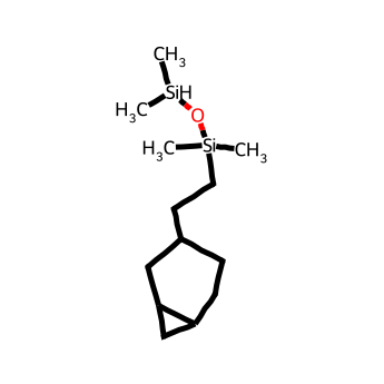 C[SiH](C)O[Si](C)(C)CCC1CCC2CC2C1